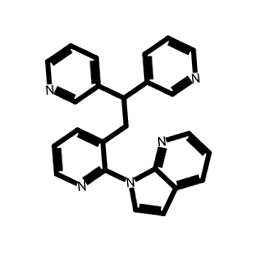 c1cncc(C(Cc2cccnc2-n2ccc3cccnc32)c2cccnc2)c1